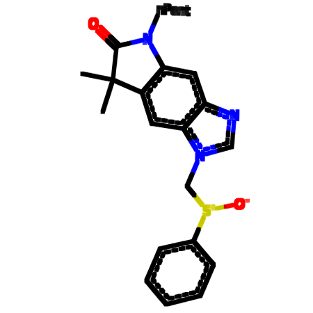 CCCCCN1C(=O)C(C)(C)c2cc3c(cc21)ncn3C[S+]([O-])c1ccccc1